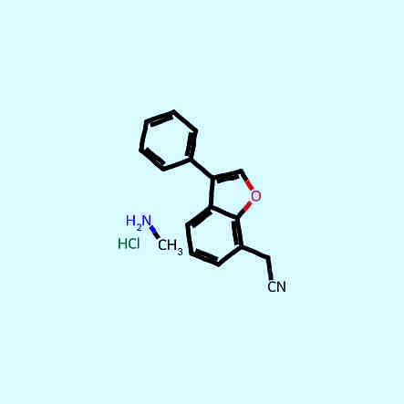 CN.Cl.N#CCc1cccc2c(-c3ccccc3)coc12